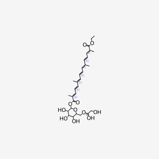 CCOC(=O)/C(C)=C/C=C/C(C)=C/C=C/C=C(C)/C=C/C=C(\C)C(=O)OC1OC(CO[C@H](O)CO)C(O)C(O)C1O